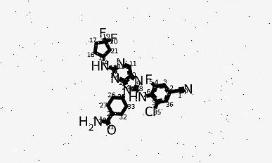 N#Cc1cc(F)c(Nc2nc3cnc(N[C@H]4CCC(F)(F)C4)nc3n2C2CCC(C(N)=O)CC2)c(Cl)c1